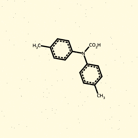 Cc1ccc(N(C(=O)O)c2ccc(C)cc2)cc1